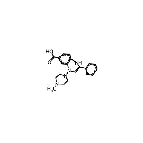 CN1CCN(N2C=C(c3ccccc3)Nc3ccc(C(=O)O)cc32)CC1